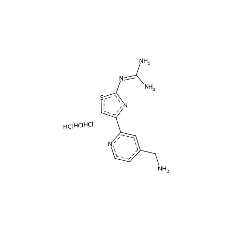 Cl.Cl.Cl.NCc1ccnc(-c2csc(N=C(N)N)n2)c1